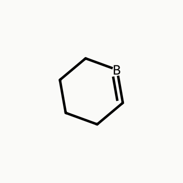 B1=CCCCC1